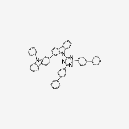 c1ccc(-c2ccc(-c3nc(-c4ccc(-c5ccccc5)cc4)nc(-n4c5ccccc5c5ccc(-c6ccc7c8ccccc8n(-c8ccccc8)c7c6)cc54)n3)cc2)cc1